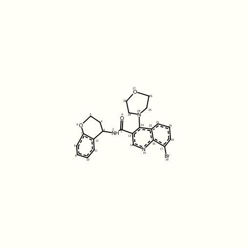 O=C(NC1CCOc2ccccc21)c1cnc2c(Br)cccc2c1N1CCOCC1